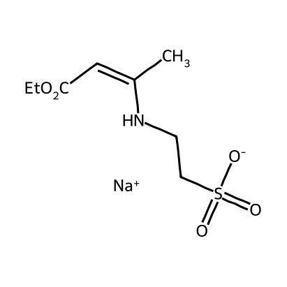 CCOC(=O)C=C(C)NCCS(=O)(=O)[O-].[Na+]